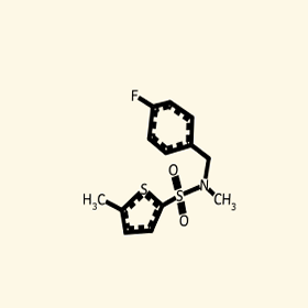 Cc1ccc(S(=O)(=O)N(C)Cc2ccc(F)cc2)s1